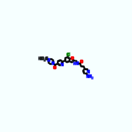 Nc1ccc(C=CC(=O)NCc2cc3cc(-c4ccc(C(=O)N5CCN(C(=O)O)CC5)cn4)cc(Cl)c3o2)cn1